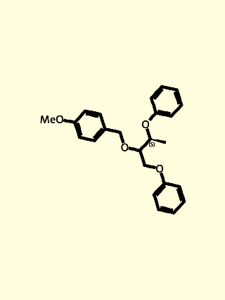 COc1ccc(COC(COc2ccccc2)[C@H](C)Oc2ccccc2)cc1